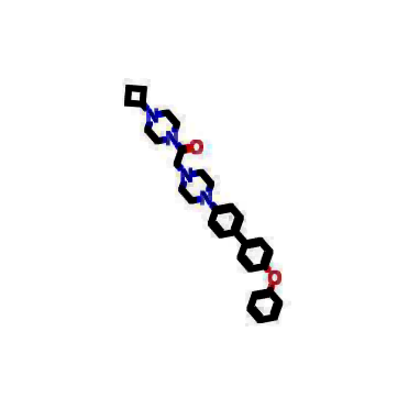 O=C(CN1CCN(c2ccc(-c3ccc(Oc4ccccc4)cc3)cc2)CC1)N1CCN(C2CCC2)CC1